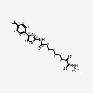 CNC(=O)C(=O)CCCCCCC(=O)Nc1nc(-c2ccc(Cl)cc2)cs1